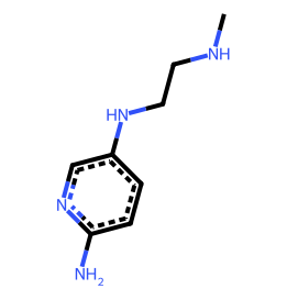 CNCCNc1ccc(N)nc1